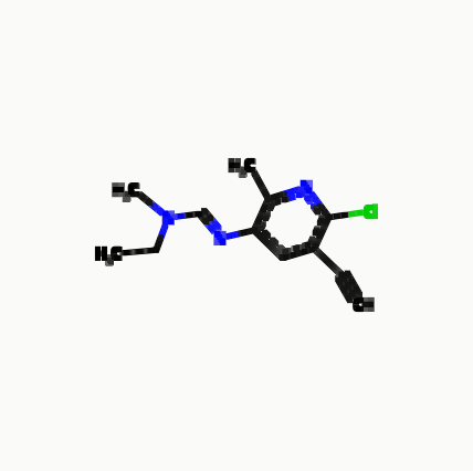 C#Cc1cc(/N=C/N(C)CC)c(C)nc1Cl